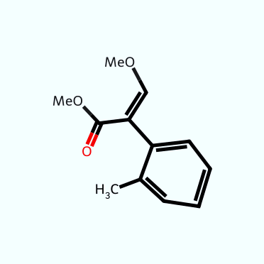 CO/C=C(\C(=O)OC)c1ccccc1C